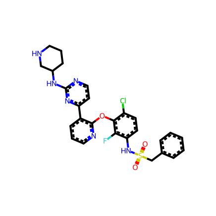 O=S(=O)(Cc1ccccc1)Nc1ccc(Cl)c(Oc2ncccc2-c2ccnc(NC3CCCNC3)n2)c1F